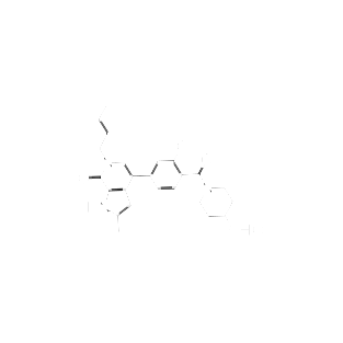 C/C=C/Cn1cc(-c2ccc(C(=O)N3CCC(C=O)CC3)c(Cl)c2)c2cc(C)[nH]c2c1=O